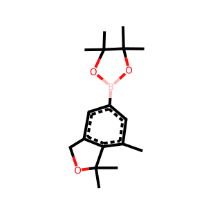 Cc1cc(B2OC(C)(C)C(C)(C)O2)cc2c1C(C)(C)OC2